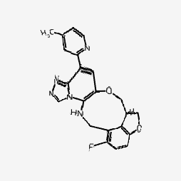 Cc1ccnc(-c2cc3c(n4cnnc24)NCc2c(F)ccc4c2[C@@H](CO4)CO3)c1